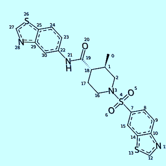 C[C@H]1CN(S(=O)(=O)c2ccc3ncsc3c2)CC[C@@H]1C(=O)Nc1ccc2scnc2c1